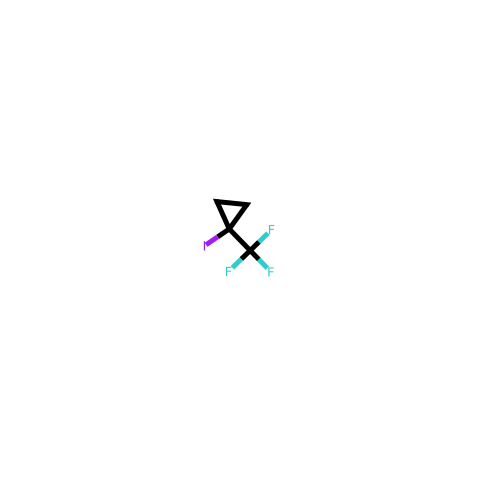 FC(F)(F)C1(I)CC1